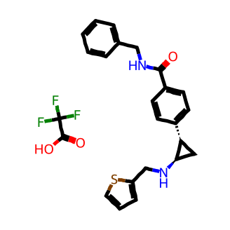 O=C(NCc1ccccc1)c1ccc([C@@H]2C[C@H]2NCc2cccs2)cc1.O=C(O)C(F)(F)F